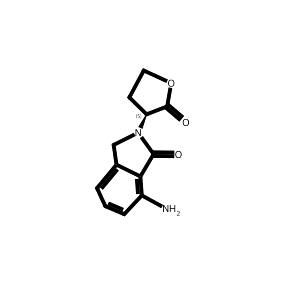 Nc1cccc2c1C(=O)N([C@H]1CCOC1=O)C2